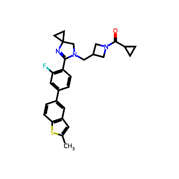 Cc1cc2cc(-c3ccc(C4=NC5(CC5)CN4CC4CN(C(=O)C5CC5)C4)c(F)c3)ccc2s1